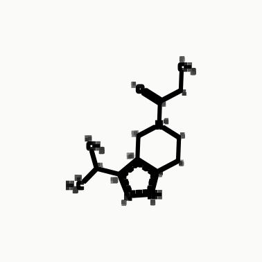 CCC(=O)N1CCc2[nH]nc(C(C)C)c2C1